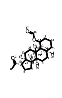 CC(=O)[C@H]1CC[C@H]2[C@@H]3CC[C@@H]4CCCC(OC=O)[C@]4(C)[C@H]3CC[C@]12C